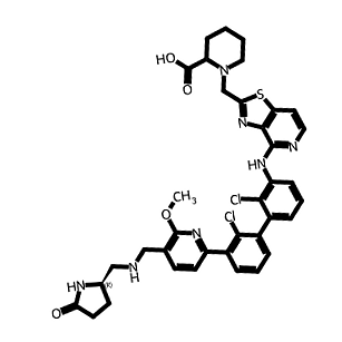 COc1nc(-c2cccc(-c3cccc(Nc4nccc5sc(CN6CCCCC6C(=O)O)nc45)c3Cl)c2Cl)ccc1CNC[C@H]1CCC(=O)N1